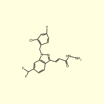 NNC(=O)/C=C/c1nn(Cc2ccc(F)cc2Cl)c2cc(C(F)F)ccc12